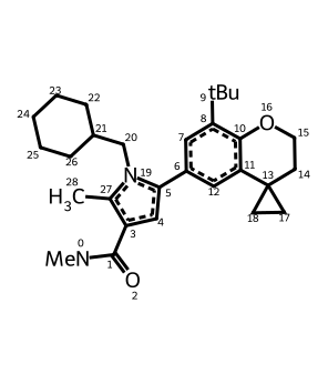 CNC(=O)c1cc(-c2cc(C(C)(C)C)c3c(c2)C2(CCO3)CC2)n(CC2CCCCC2)c1C